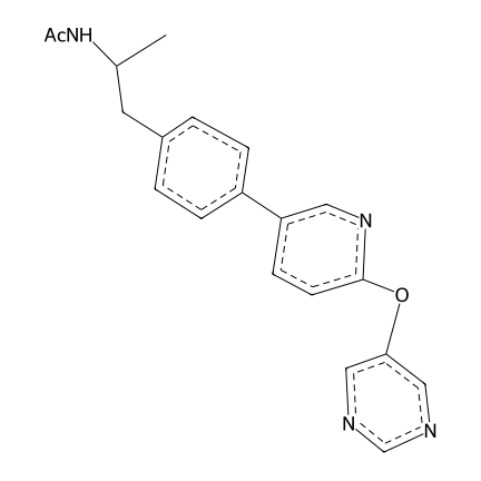 CC(=O)NC(C)Cc1ccc(-c2ccc(Oc3cncnc3)nc2)cc1